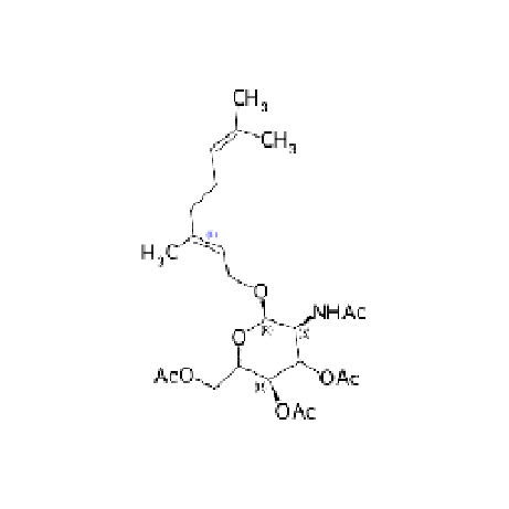 CC(=O)N[C@H]1C(OC(C)=O)[C@@H](OC(C)=O)C(COC(C)=O)O[C@H]1OC/C=C(\C)CCC=C(C)C